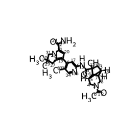 CC(=O)N1C[C@@H]2C3[C@H](C1)[C@H]2CC3(C)C(=O)Nc1cc(-c2cc(C(N)=O)n3c2CC(C)(C)C3)c(Cl)cn1